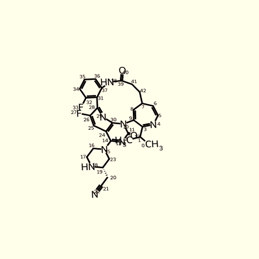 CC(C)C1=NC=CC2C=C1n1c(=O)nc(N3CCN[C@@H](CC#N)C3)c3cc(F)c(nc31)-c1c(F)cccc1NC(=O)CC2